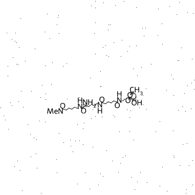 CNC(=O)CCCCCNC(=O)[C@@H](N)CCCCNC(=O)CCCCC(=O)NCCO[C@@H]1O[C@@H](C)CC[C@@H]1O